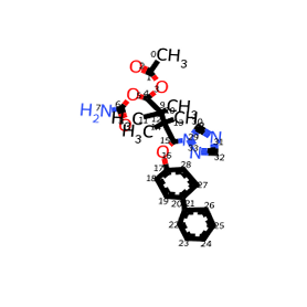 CC(=O)OC(OC(N)=O)C(C)(C)C(C)(C)C(Oc1ccc(-c2ccccc2)cc1)n1cncn1